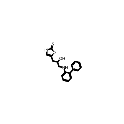 OC(CNc1ccccc1-c1ccccc1)Cc1c[nH]c(=S)o1